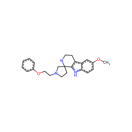 COc1ccc2[nH]c3c(c2c1)CC[N]C31CCN(CCOc2ccccc2)C1